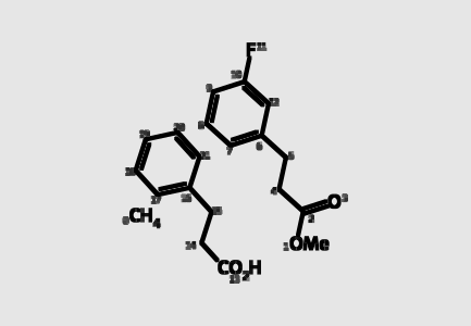 C.COC(=O)CCc1cccc(F)c1.O=C(O)CCc1ccccc1